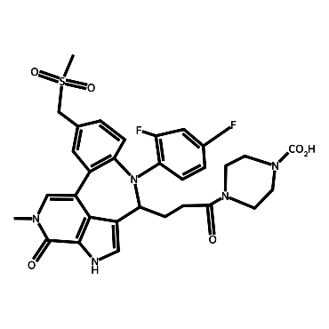 Cn1cc2c3c(c[nH]c3c1=O)C(CCC(=O)N1CCN(C(=O)O)CC1)N(c1ccc(F)cc1F)c1ccc(CS(C)(=O)=O)cc1-2